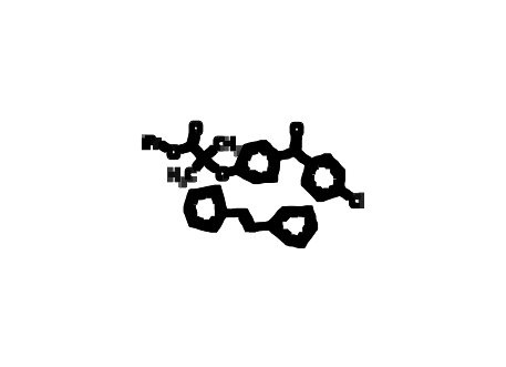 C(=Cc1ccccc1)c1ccccc1.CC(C)OC(=O)C(C)(C)Oc1ccc(C(=O)c2ccc(Cl)cc2)cc1